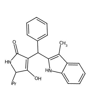 Cc1c(C(C2=C(O)C(C(C)C)NC2=O)c2ccccc2)[nH]c2ccccc12